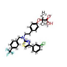 CC(C)(Oc1ccc(CCN(Cc2ccc(C(F)(F)F)cc2)c2nc(-c3cccc(Cl)c3)cs2)cc1)C(=O)O